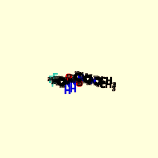 CC1(C)CCN(c2ccc(N3CCC[C@@H](NC(=O)Nc4ccc(C(F)(F)F)cc4)C3=O)cc2)CC1